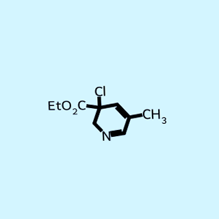 CCOC(=O)C1(Cl)C=C(C)C=NC1